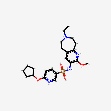 CCN1CCc2cc(NS(=O)(=O)c3ccc(OC4CCCC4)nc3)c(OC)nc2CC1